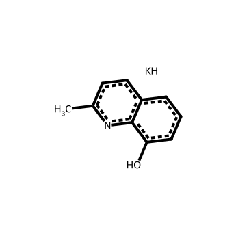 Cc1ccc2cccc(O)c2n1.[KH]